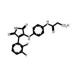 O=C(O)CC(=O)Nc1ccc(NC2=C(c3cccc(F)c3F)C(=O)NC2=O)cc1